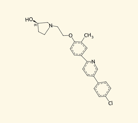 Cc1cc(-c2ccc(-c3ccc(Cl)cc3)cn2)ccc1OCCN1CC[C@@H](O)C1